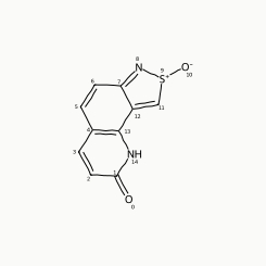 O=c1ccc2ccc3n[s+]([O-])cc3c2[nH]1